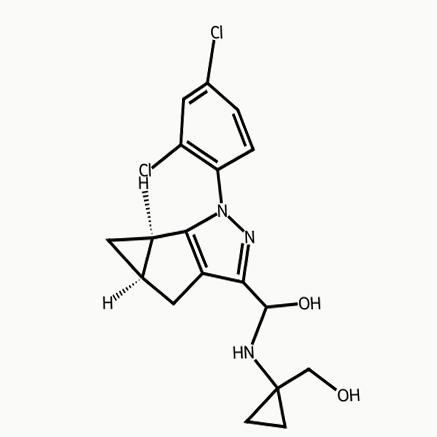 OCC1(NC(O)c2nn(-c3ccc(Cl)cc3Cl)c3c2C[C@H]2C[C@@H]32)CC1